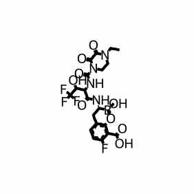 CCN1CCN(C(=O)NC(C(=O)N[C@H]2Cc3ccc(F)c(C(=O)O)c3OB2O)C(O)C(F)(F)F)C(=O)C1=O